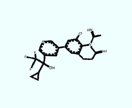 CC(=N)N1C(=N)CCc2cc(-c3cncc(C(O)(C4CC4)C(F)(F)F)c3)cc(Cl)c21